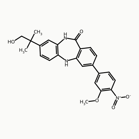 COc1cc(-c2ccc3c(c2)Nc2ccc(C(C)(C)CO)cc2NC3=O)ccc1[N+](=O)[O-]